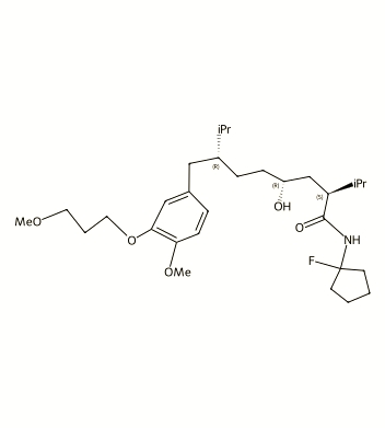 COCCCOc1cc(C[C@@H](CC[C@@H](O)C[C@H](C(=O)NC2(F)CCCC2)C(C)C)C(C)C)ccc1OC